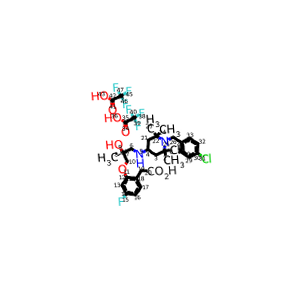 CC1(C)CC(NC[C@](C)(O)COc2cc(F)ccc2CC(=O)O)CC(C)(C)N1Cc1ccc(Cl)cc1.O=C(O)C(F)(F)F.O=C(O)C(F)(F)F